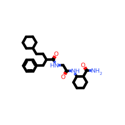 NC(=O)C1CCCCC1NC(=O)CNC(=O)C(CCC1CCCCC1)Cc1ccccc1